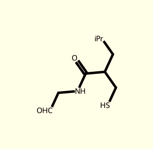 CC(C)CC(CS)C(=O)NCC=O